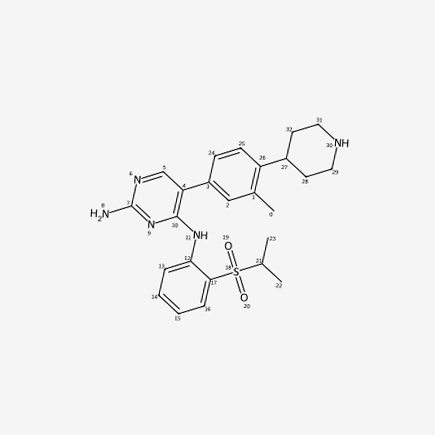 Cc1cc(-c2cnc(N)nc2Nc2ccccc2S(=O)(=O)C(C)C)ccc1C1CCNCC1